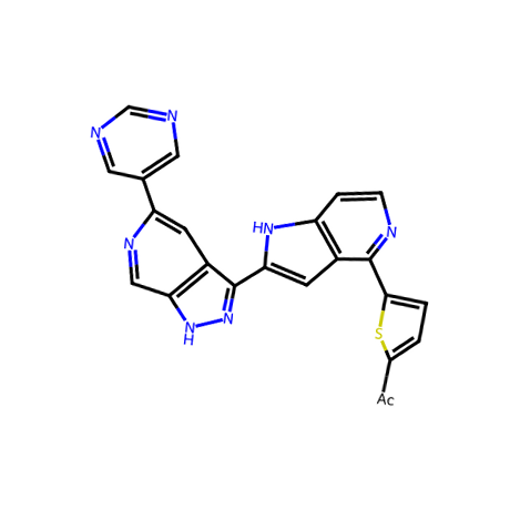 CC(=O)c1ccc(-c2nccc3[nH]c(-c4n[nH]c5cnc(-c6cncnc6)cc45)cc23)s1